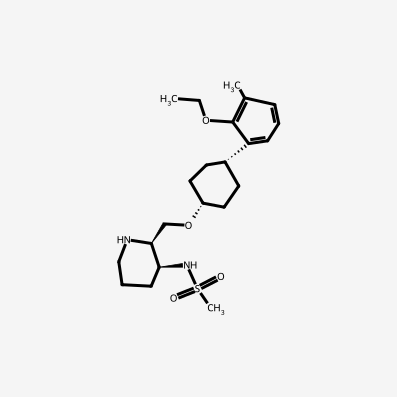 CCOc1c(C)cccc1[C@H]1CC[C@@H](OC[C@@H]2NCCC[C@@H]2NS(C)(=O)=O)CC1